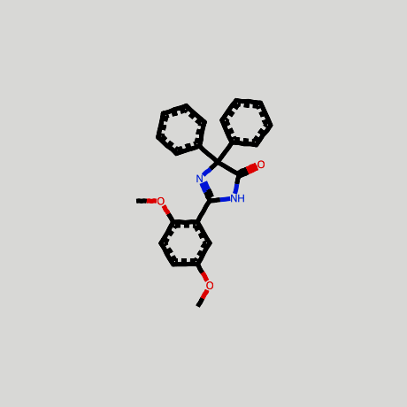 COc1ccc(OC)c(C2=NC(c3ccccc3)(c3ccccc3)C(=O)N2)c1